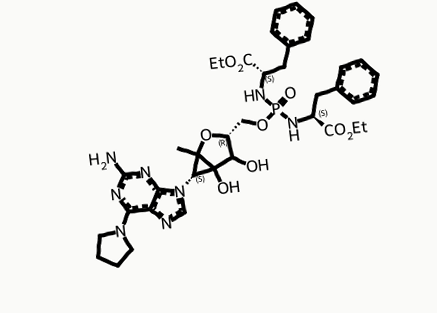 CCOC(=O)[C@H](Cc1ccccc1)NP(=O)(N[C@@H](Cc1ccccc1)C(=O)OCC)OC[C@H]1OC2(C)[C@@H](n3cnc4c(N5CCCC5)nc(N)nc43)C2(O)C1O